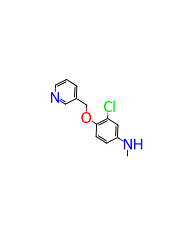 CNc1ccc(OCc2cccnc2)c(Cl)c1